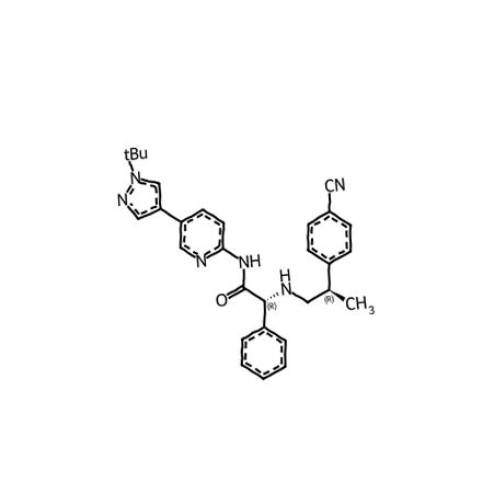 C[C@@H](CN[C@@H](C(=O)Nc1ccc(-c2cnn(C(C)(C)C)c2)cn1)c1ccccc1)c1ccc(C#N)cc1